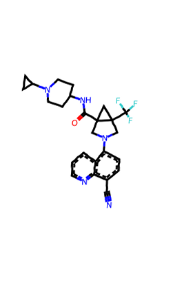 N#Cc1ccc(N2CC3(C(=O)NC4CCN(C5CC5)CC4)CC3(C(F)(F)F)C2)c2cccnc12